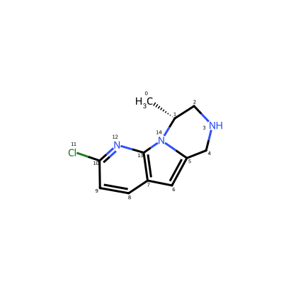 C[C@@H]1CNCc2cc3ccc(Cl)nc3n21